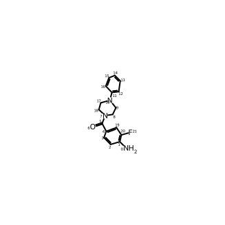 Nc1ccc(C(=O)N2CCN(c3ccccc3)CC2)cc1F